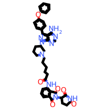 Nc1ncnc2c1c(-c1ccc(Oc3ccccc3)cc1)nn2[C@@H]1CCCN(CCCCCC(=O)Nc2cccc3c2C(=O)N(C2CCC(=O)NC2=O)C3=O)C1